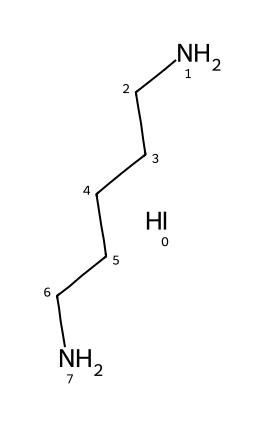 I.NCCCCCN